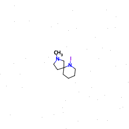 CN1CCC2(CCCCN2I)C1